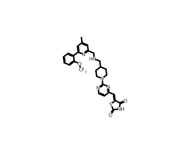 Cc1cc(CNCC2CCN(c3nccc(/C=C4\SC(=O)NC4=O)n3)CC2)nc(-c2ccccc2OC(F)(F)F)c1